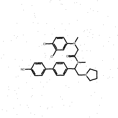 CN(CC(=O)N(C)C(CN1CCCC1)c1ccc(-c2ccc(C#N)cc2)cc1)c1ccc(Cl)c(Cl)c1